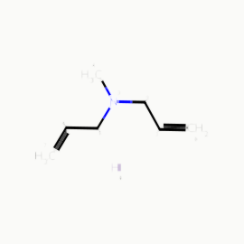 C=CCN(C)CC=C.I